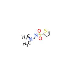 CN(C)C=NS(=O)(=O)c1cccs1